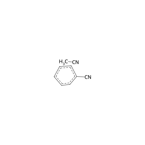 CC#N.N#Cc1ccccc1